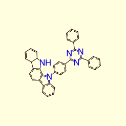 C1=CC2Nc3c(ccc4c5ccccc5n(-c5ccc(-c6nc(-c7ccccc7)nc(-c7ccccc7)n6)cc5)c34)C2C=C1